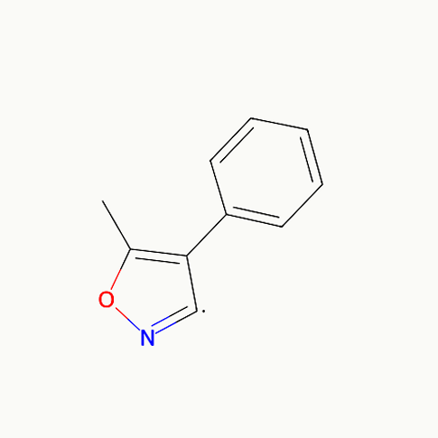 Cc1on[c]c1-c1ccccc1